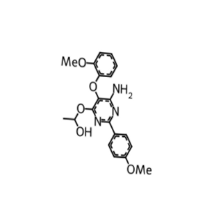 COc1ccc(-c2nc(N)c(Oc3ccccc3OC)c(OC(C)O)n2)cc1